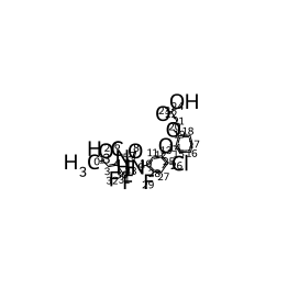 CC(=O)/C=C(\N(C)C(=O)Nc1cc(Oc2ccccc2OCC(=O)O)c(Cl)cc1F)C(F)(F)F